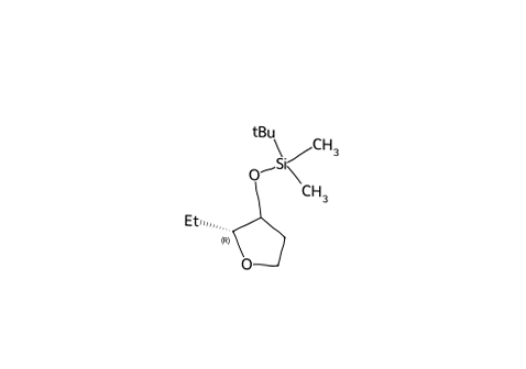 CC[C@H]1OCCC1O[Si](C)(C)C(C)(C)C